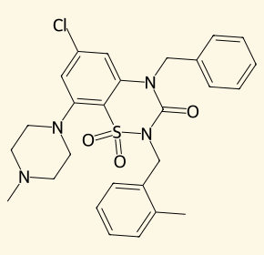 Cc1ccccc1CN1C(=O)N(Cc2ccccc2)c2cc(Cl)cc(N3CCN(C)CC3)c2S1(=O)=O